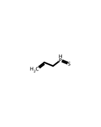 C=CC[PH]=S